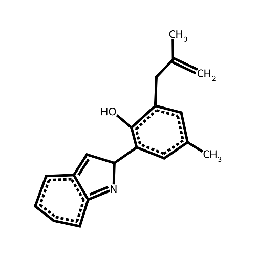 C=C(C)Cc1cc(C)cc(C2C=c3ccccc3=N2)c1O